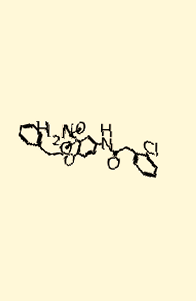 NS(=O)(=O)c1cc(NC(=O)Cc2ccccc2Cl)ccc1OCCc1ccccc1